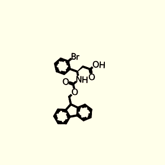 O=C(O)C[C@@H](NC(=O)OCC1c2ccccc2-c2ccccc21)c1ccccc1Br